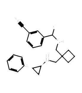 CC(NCC1(CN[C@H]2C[C@@H]2c2ccccc2)CCC1)c1cccc(C#N)c1